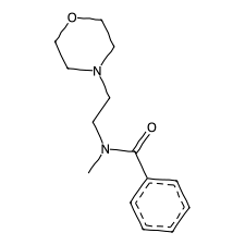 CN(CCN1CCOCC1)C(=O)c1ccccc1